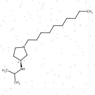 CCCCCCCCCCN1CC[C@H](NC(C)C)C1